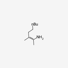 CCCCCCC(C)=C(C)N